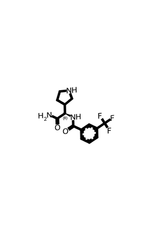 NC(=O)[C@H](NC(=O)c1cccc(C(F)(F)F)c1)C1CCNC1